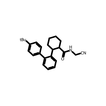 CC(C)(C)c1ccc(-c2ccccc2C2CCCCC2C(=O)NCC#N)cc1